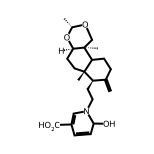 C=C1CCC2[C@]3(C)CO[C@@H](C)O[C@@H]3CC[C@@]2(C)[C@@H]1CCN1C=C(C(=O)O)C=CC1O